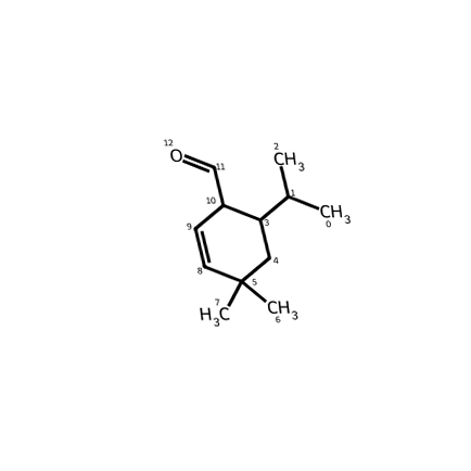 CC(C)C1CC(C)(C)C=CC1C=O